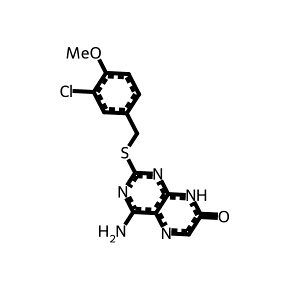 COc1ccc(CSc2nc(N)c3ncc(=O)[nH]c3n2)cc1Cl